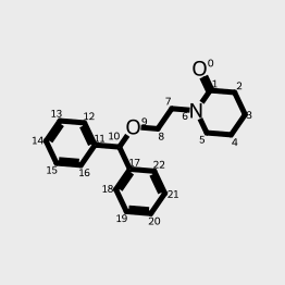 O=C1CCCCN1CCOC(c1ccccc1)c1ccccc1